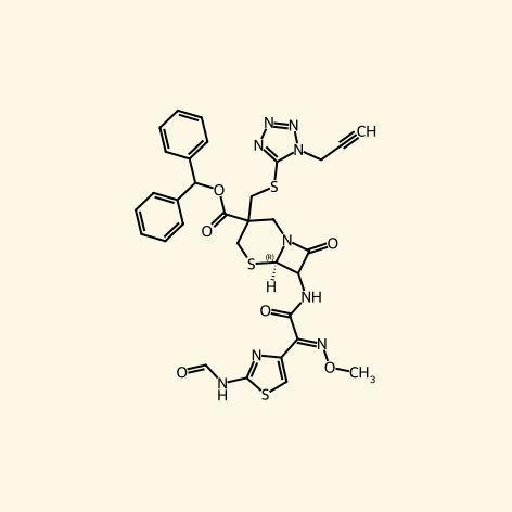 C#CCn1nnnc1SCC1(C(=O)OC(c2ccccc2)c2ccccc2)CS[C@@H]2C(NC(=O)C(=NOC)c3csc(NC=O)n3)C(=O)N2C1